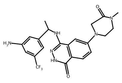 CC(Nc1n[nH]c(=O)c2ccc(N3CCN(C)C(=O)C3)cc12)c1cc(N)cc(C(F)(F)F)c1